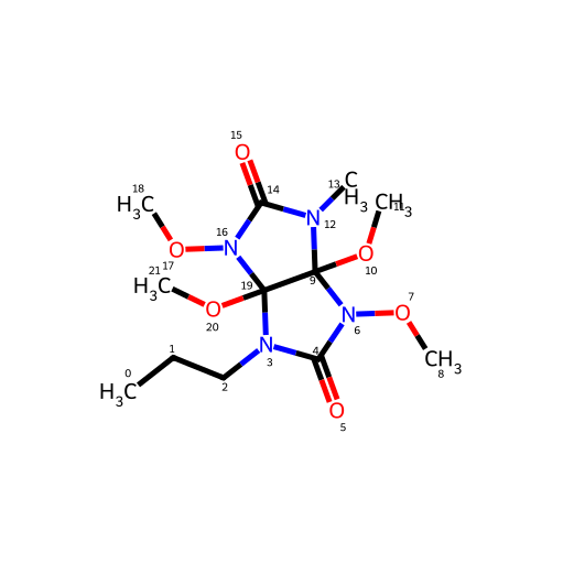 CCCN1C(=O)N(OC)C2(OC)N(C)C(=O)N(OC)C12OC